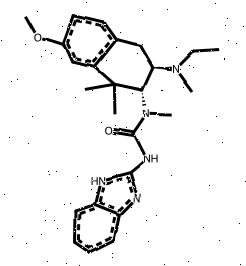 CCN(C)[C@@H]1Cc2ccc(OC)cc2C(C)(C)[C@H]1N(C)C(=O)Nc1nc2ccccc2[nH]1